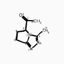 CC(=O)C1CCc2nnc(C)n21